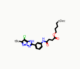 CCCCCCCCCCCCCCOC(=O)CCC(=O)Nc1cccc(-c2nn3nc(C(C)(C)C)c(Cl)c3[nH]2)c1